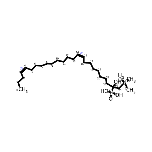 CCC/C=C\CCCCCCCCC/C=C\CCCCCCCC(O)(C[N+](C)(C)C)P(=O)(O)O